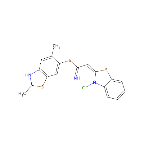 Cc1cc2c(cc1SC(=N)/C=C1/Sc3ccccc3N1Cl)SC(C)N2